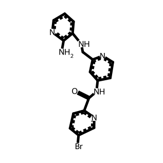 Nc1ncccc1NCc1cc(NC(=O)c2ccc(Br)cn2)ccn1